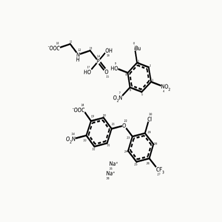 CCC(C)c1cc([N+](=O)[O-])cc([N+](=O)[O-])c1O.O=C([O-])CNCP(=O)(O)O.O=C([O-])c1cc(Oc2ccc(C(F)(F)F)cc2Cl)ccc1[N+](=O)[O-].[Na+].[Na+]